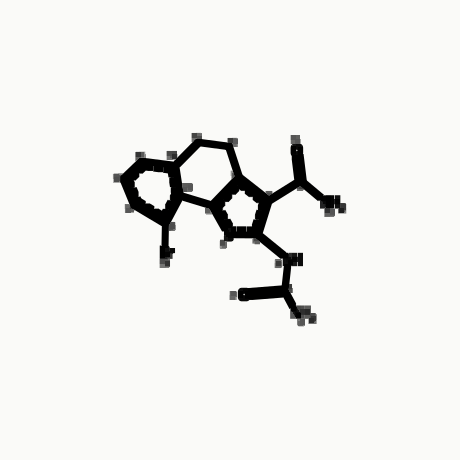 NC(=O)Nc1sc2c(c1C(N)=O)CCc1cccc(Br)c1-2